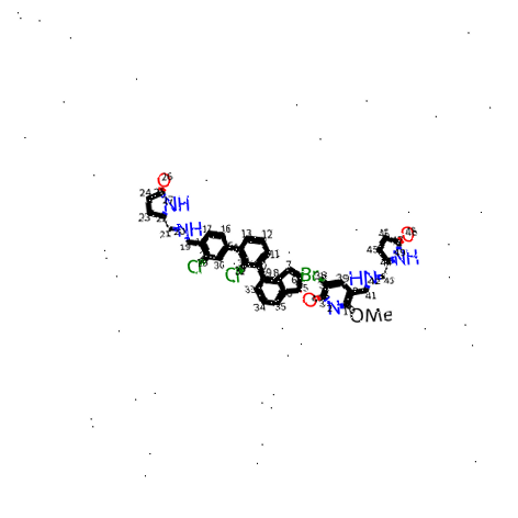 COc1nc(O[C@H]2CCc3c(-c4cccc(-c5ccc(CNC[C@@H]6CCC(=O)N6)c(Cl)c5)c4Cl)cccc32)c(Br)cc1CNC[C@@H]1CCC(=O)N1